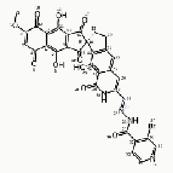 COC1=CC(=O)c2c(O)c3c(c(O)c2C1=O)C(=O)[C@]1(CCc2cc4cc(/C=N/NC(=O)c5ccncc5Br)[nH]c(=O)c4c(O)c21)C3=O